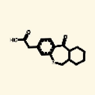 O=C(O)Cc1ccc2c(c1)SCC1CCCCC1C2=O